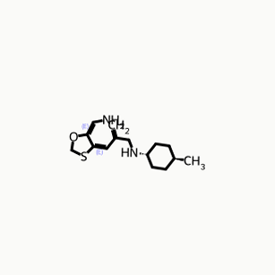 C=C(/C=C1/SCO/C1=C/N)CN[C@H]1CC[C@H](C)CC1